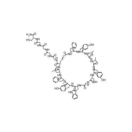 CC(C)CC1NC(=O)C(Cc2ccc(O)cc2)NC(=O)C(Cc2ccccc2)NC(=O)CSCC(C(=O)NCC(=O)NCC(=O)NCC(=O)NCC(=O)N[C@@H](CS)C(N)=O)NC(=O)C(CC(C)C)NC(=O)C(Cc2ccccc2)N(C)C(=O)C(Cc2ccc(O)cc2)NC(=O)C(Cc2c[nH]c3ccccc23)NC(=O)CNC(=O)C(CO)NC(=O)C(Cc2ccc(O)cc2)NC(=O)C(C(C)C)NC1=O